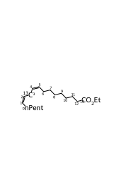 CCCCC/C=C\[13CH2]/C=C\CCCCCCCC(=O)OCC